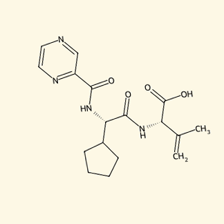 C=C(C)[C@H](NC(=O)[C@@H](NC(=O)c1cnccn1)C1CCCC1)C(=O)O